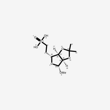 CO[C@@H]1O[C@H](CCP(=O)(O)O)[C@H]2OC(C)(C)O[C@@H]12